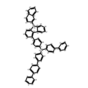 c1ccc(-c2ccc(-c3ccc(N(c4ccc(-c5ccccc5)cc4)c4ccc(-c5cccc6c5c5ccccc5n6-c5ccc6ccccc6c5)cc4)cc3)cc2)cc1